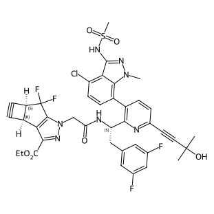 CCOC(=O)c1nn(CC(=O)N[C@@H](Cc2cc(F)cc(F)c2)c2nc(C#CC(C)(C)O)ccc2-c2ccc(Cl)c3c(NS(C)(=O)=O)nn(C)c23)c2c1[C@H]1C#C[C@H]1C2(F)F